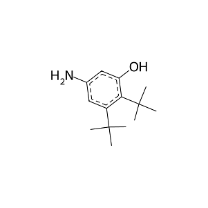 CC(C)(C)c1cc(N)cc(O)c1C(C)(C)C